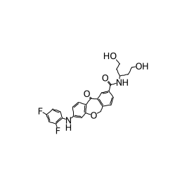 O=C(NC(CCO)CCO)c1ccc2c(c1)C(=O)c1ccc(Nc3ccc(F)cc3F)cc1OC2